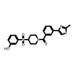 Cc1nc(-c2cccc(C(=O)N3CCC(S(=O)(=O)c4cccc(O)c4)CC3)c2)cs1